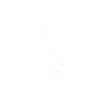 CCCCOc1nc(N(Cc2ccc(OC)cc2)Cc2ccc(OC)cc2)c2ncc(C(O)c3cc(C)c(C4CCN(C(=O)O)CC4)cn3)n2n1